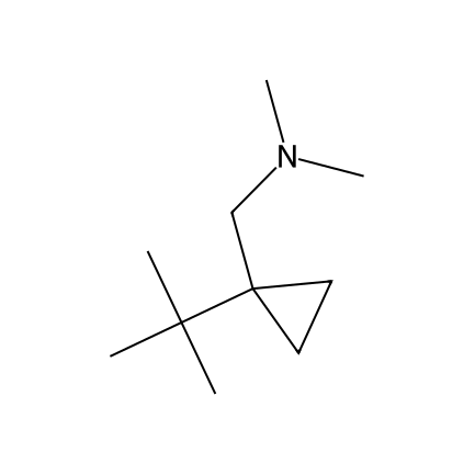 CN(C)CC1(C(C)(C)C)CC1